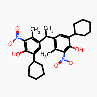 Cc1c(C(C)c2cc(C3CCCCC3)c(O)c([N+](=O)[O-])c2C)cc(C2CCCCC2)c(O)c1[N+](=O)[O-]